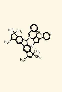 CC1=CC(C)(C)c2cc3c(cc21)-c1cc2c(cc1[CH]3[Zr](=[CH]c1ccccc1)[C]1=C(C)C(c3ccccc3)=CC1C)C(C)(C)C=C2C